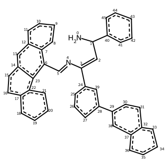 NC(/C=C(\N=C\c1c2ccccc2cc2ccc3ccccc3c12)c1cccc(-c2ccc3ccccc3c2)c1)c1ccccc1